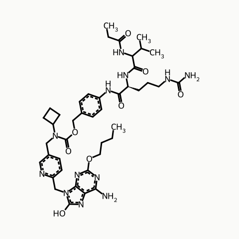 CCCCOc1nc(N)c2nc(O)n(Cc3ccc(CN(C(=O)OCc4ccc(NC(=O)[C@H](CCCNC(N)=O)NC(=O)C(NC(=O)CC)C(C)C)cc4)C4CCC4)cn3)c2n1